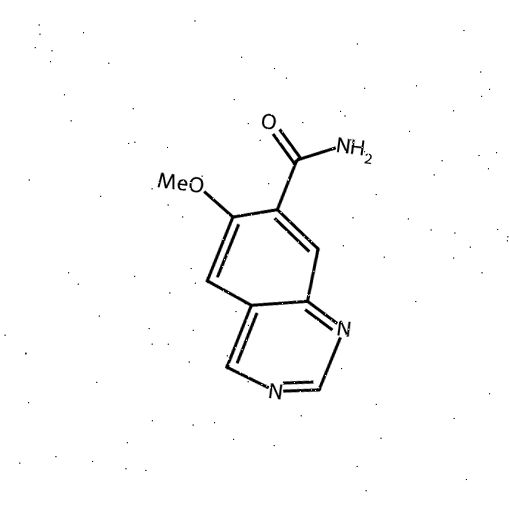 COc1cc2cncnc2cc1C(N)=O